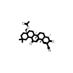 CC(=O)OC[C@]12CCC(C)(C)CC1C1C(=O)C=C3[C@@]4(C)C=C(C#N)C(=O)[C@@H](C)C4CC[C@@]3(C)[C@]1(C)CC2